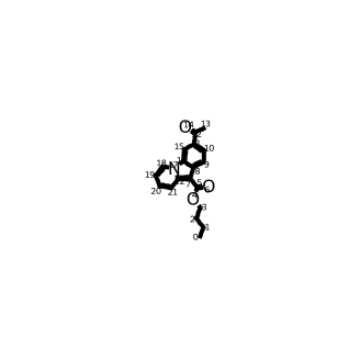 CCCCOC(=O)c1c2ccc(C(C)=O)cc2n2ccccc12